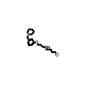 ClCCCCNCCCOc1cccc(CN2CCCCC2)c1